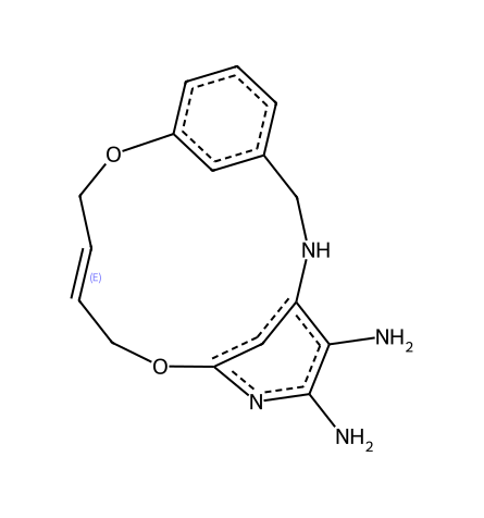 Nc1nc2cc(c1N)NCc1cccc(c1)OC/C=C/CO2